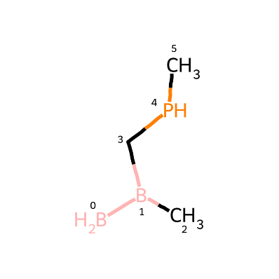 BB(C)CPC